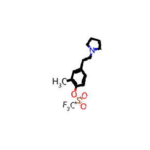 Cc1cc(CCN2CCCC2)ccc1OS(=O)(=O)C(F)(F)F